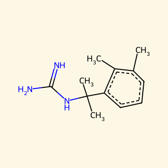 Cc1cccc(C(C)(C)NC(=N)N)c1C